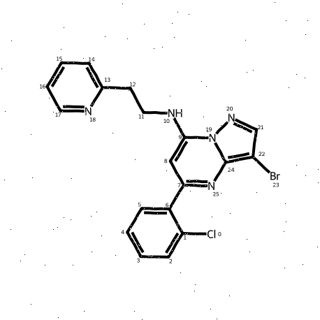 Clc1ccccc1-c1cc(NCCc2ccccn2)n2ncc(Br)c2n1